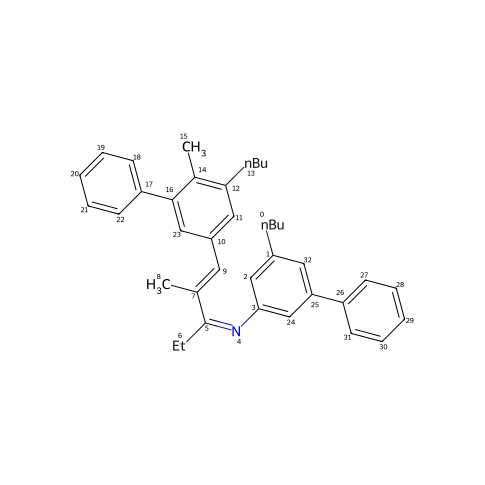 CCCCc1cc(N=C(CC)C(C)=Cc2cc(CCCC)c(C)c(-c3ccccc3)c2)cc(-c2ccccc2)c1